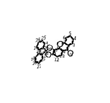 O=c1c2ccccc2oc2c3c(ccc12)OC(c1ccccc1)(c1ccccc1)O3